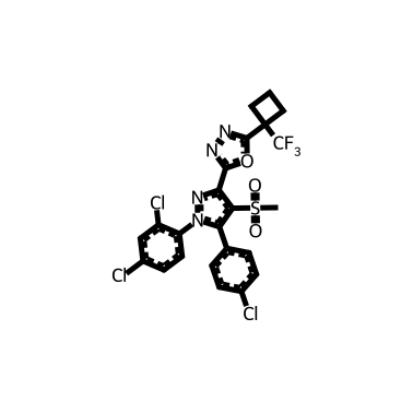 CS(=O)(=O)c1c(-c2nnc(C3(C(F)(F)F)CCC3)o2)nn(-c2ccc(Cl)cc2Cl)c1-c1ccc(Cl)cc1